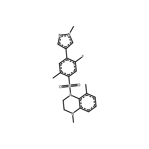 Cc1cc(-c2cnn(C)c2)c(F)cc1S(=O)(=O)N1CCN(C)c2cccc(C)c21